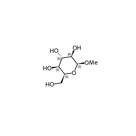 CO[C@H]1O[C@@H](CO)[C@@H](O)[C@H](O)[C@H]1O